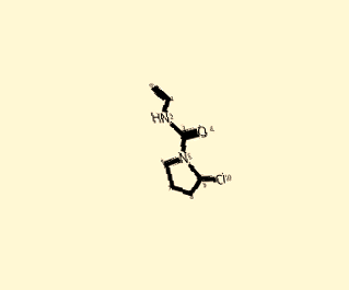 C=CNC(=O)N1CCCC1Cl